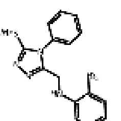 CSc1nnc(CNc2ccccc2C(C)(C)C)n1-c1ccccc1